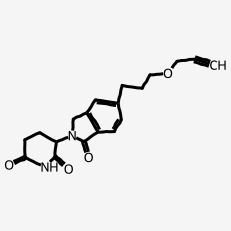 C#CCOCCCc1ccc2c(c1)CN(C1CCC(=O)NC1=O)C2=O